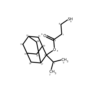 CC(C)C1(OC(=O)CCS)C2CC3CC(C2)CC1C3